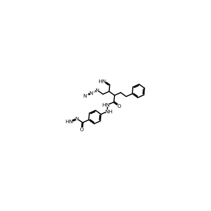 [N-]=[N+]=NCC(C=N)C(CCc1ccccc1)C(=O)NNc1ccc(C(=O)N=N)cc1